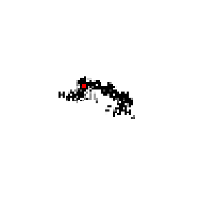 COC(=O)NC(C(=O)N1[C@@H]2CC[C@@H](C2)[C@H]1c1nc2ccc(-c3ccc4c(c3)C(F)(F)c3cc(-c5cnc([C@@H]6CCCN6C(=O)OC(C)(C)C)[nH]5)ccc3-4)cc2[nH]1)C(C)C